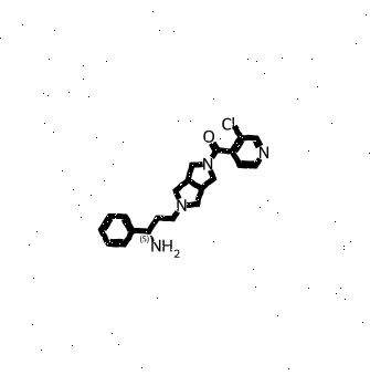 N[C@@H](CCN1CC2CN(C(=O)c3ccncc3Cl)CC2C1)c1ccccc1